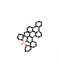 O=P(c1ccccc1)(c1ccccc1)c1c2ccccc2c(-c2cccc3c4ccccc4c4ccccc4c23)c2ccccc12